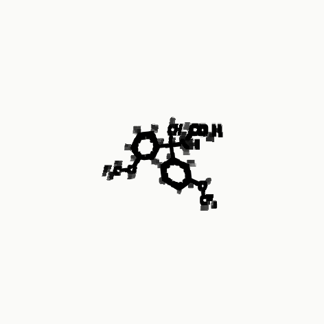 CC(NC(=O)O)(c1cccc(OC(F)(F)F)c1)c1cccc(OC(F)(F)F)c1